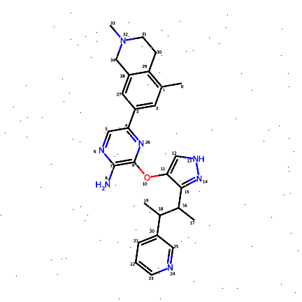 Cc1cc(-c2cnc(N)c(Oc3c[nH]nc3C(C)C(C)c3cccnc3)n2)cc2c1CCN(C)C2